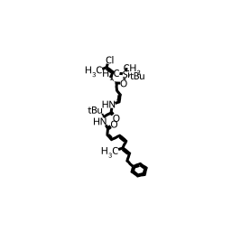 C/C(Cl)=C\C[C@@H](C/C=C\NC(=O)[C@@H](NC(=O)\C=C/C=C\C(C)=C\Cc1ccccc1)C(C)(C)C)O[Si](C)(C)C(C)(C)C